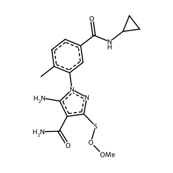 COOSc1nn(-c2cc(C(=O)NC3CC3)ccc2C)c(N)c1C(N)=O